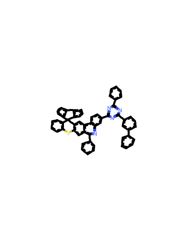 c1ccc(-c2cccc(-c3nc(-c4ccccc4)nc(-c4ccc5c(c4)nc(-c4ccccc4)c4cc6c(cc45)C4(c5ccccc5S6)c5ccccc5-c5ccccc54)n3)c2)cc1